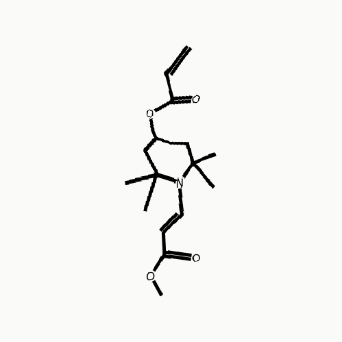 C=CC(=O)OC1CC(C)(C)N(C=CC(=O)OC)C(C)(C)C1